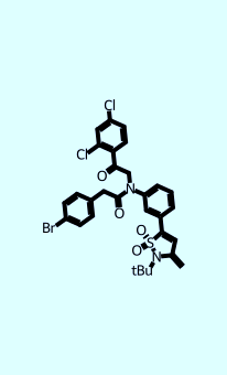 C=C1C=C(c2cccc(N(CC(=O)c3ccc(Cl)cc3Cl)C(=O)Cc3ccc(Br)cc3)c2)S(=O)(=O)N1C(C)(C)C